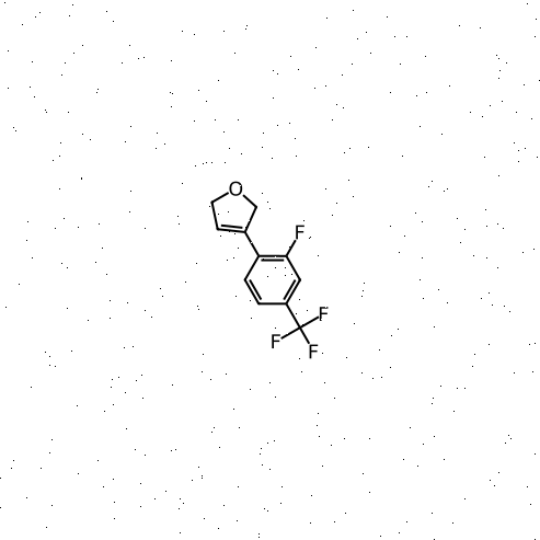 Fc1cc(C(F)(F)F)ccc1C1=CCOC1